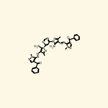 Cc1nn(-c2cc(-n3nc(C)c(/N=N/c4c(C(=O)c5ccccc5)cnn4C)c3N)ncn2)c(N)c1/N=N/c1c(C(=O)c2ccccc2)cnn1C